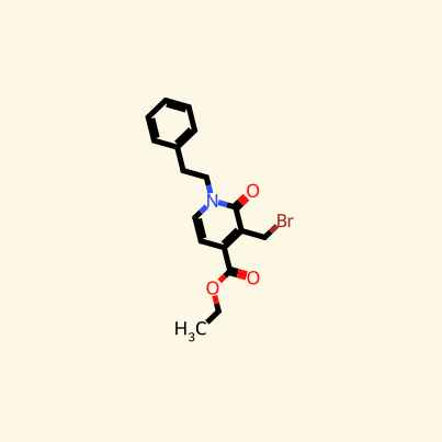 CCOC(=O)c1ccn(CCc2ccccc2)c(=O)c1CBr